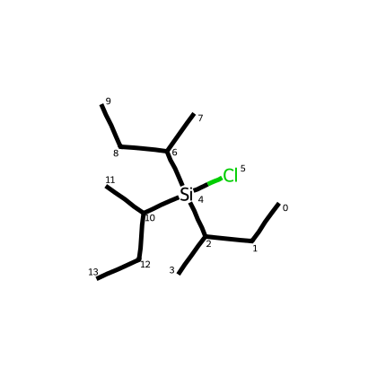 CCC(C)[Si](Cl)(C(C)CC)C(C)CC